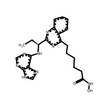 CC[C@H](Nc1ncnc2[nH]cnc12)c1nc(CCCCCC(=O)NO)c2ccccc2n1